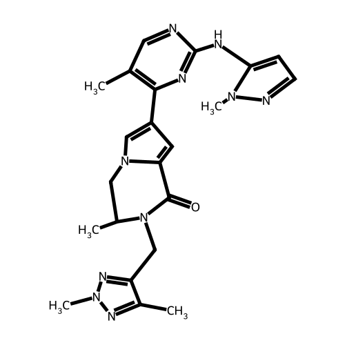 Cc1cnc(Nc2ccnn2C)nc1-c1cc2n(c1)CC(C)N(Cc1nn(C)nc1C)C2=O